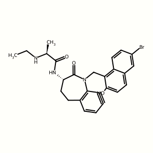 CCN[C@@H](C)C(=O)N[C@H]1CCc2ccc#cc2N(Cc2c(O)ccc3cc(Br)ccc23)C1=O